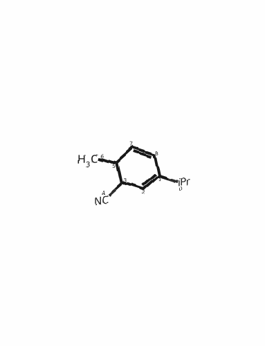 CC(C)C1=CC(C#N)C(C)C=C1